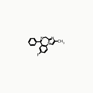 Cc1cn2c(n1)CN=C(c1ccccc1)c1cc(F)ccc1-2